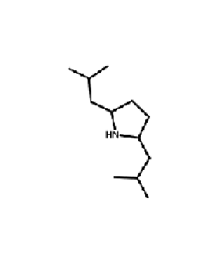 CC(C)CC1CCC(CC(C)C)N1